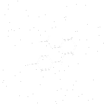 CC(=O)Nc1ccccc1Nc1ccc(Br)cc1